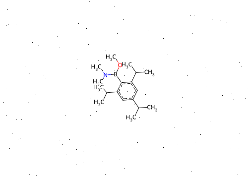 COB(c1c(C(C)C)cc(C(C)C)cc1C(C)C)N(C)C